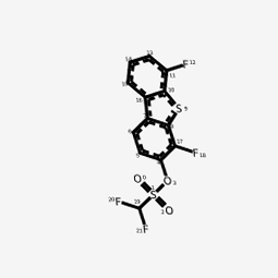 O=S(=O)(Oc1ccc2c(sc3c(F)cccc32)c1F)C(F)F